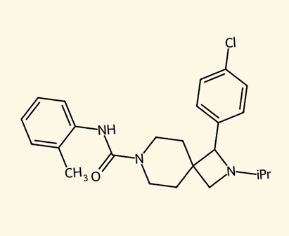 Cc1ccccc1NC(=O)N1CCC2(CC1)CN(C(C)C)C2c1ccc(Cl)cc1